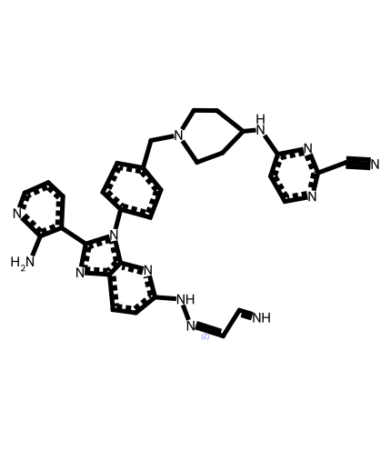 N#Cc1nccc(NC2CCN(Cc3ccc(-n4c(-c5cccnc5N)nc5ccc(N/N=C\C=N)nc54)cc3)CC2)n1